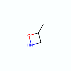 CC1CNO1